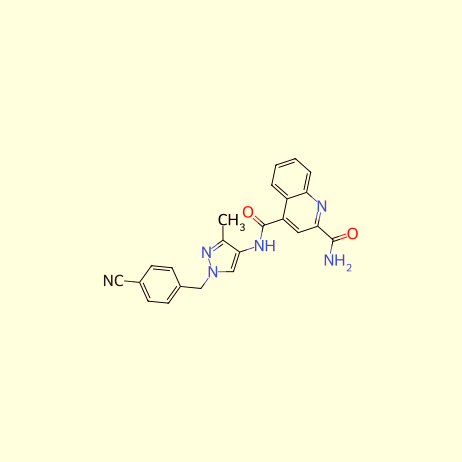 Cc1nn(Cc2ccc(C#N)cc2)cc1NC(=O)c1cc(C(N)=O)nc2ccccc12